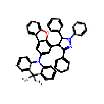 CC1(C)c2ccccc2N(c2cc(C3C(C4=CCCC=C4)=NN(c4ccccc4)C3c3ccccc3)c3oc4ccccc4c3c2)c2ccccc21